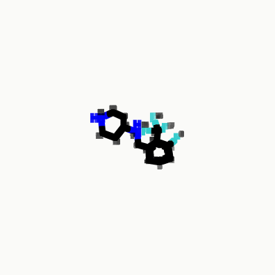 Fc1cccc(CNC2CCNCC2)c1C(F)(F)F